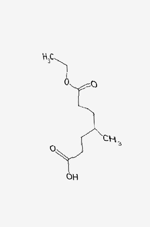 CCOC(=O)CCC(C)CCC(=O)O